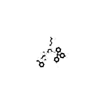 C=C(Nc1ncnc2c1ncn2[C@H]1CC(OC(=O)CCC(C)=O)[C@@H](COC(c2ccccc2)(c2ccc(OC)cc2)c2ccc(OC)cc2)O1)c1ccccc1